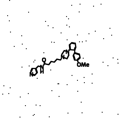 COc1ccc(-c2ccccc2N2CCN(CCCCCC(=O)NCc3ccncc3)CC2)cc1